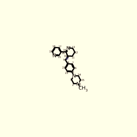 CN1CCN(c2ccc(/C=C3\CCCN=C3c3cccnc3)cc2)CC1